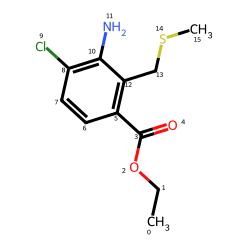 CCOC(=O)c1ccc(Cl)c(N)c1CSC